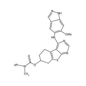 CCCN(C)C(=O)OC1CCc2c(sc3ncnc(Nc4cc5cn[nH]c5cc4OC)c23)C1